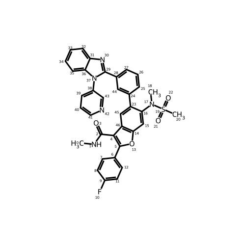 CNC(=O)c1c(-c2ccc(F)cc2)oc2cc(N(C)S(C)(=O)=O)c(-c3cccc(-c4nc5ccccc5n4-c4cccnc4)c3)cc12